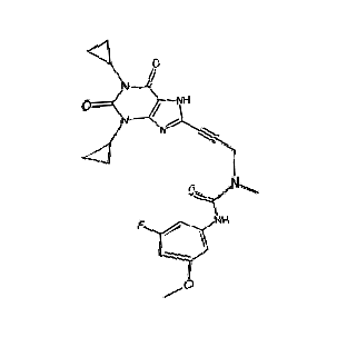 COc1cc(F)cc(NC(=O)N(C)CC#Cc2nc3c([nH]2)c(=O)n(C2CC2)c(=O)n3C2CC2)c1